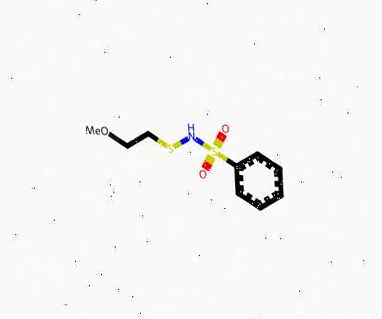 COCCSNS(=O)(=O)c1ccccc1